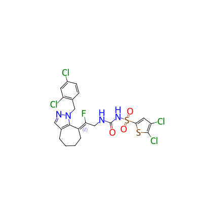 O=C(NC/C(F)=C1\CCCCc2cnn(Cc3ccc(Cl)cc3Cl)c21)NS(=O)(=O)c1cc(Cl)c(Cl)s1